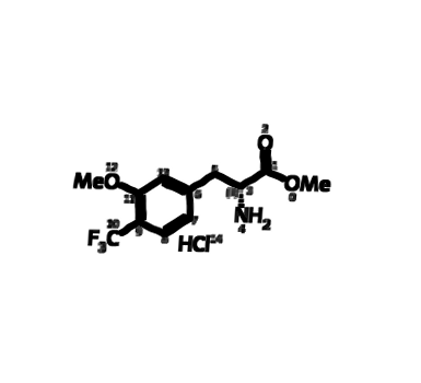 COC(=O)[C@H](N)Cc1ccc(C(F)(F)F)c(OC)c1.Cl